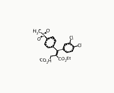 CCOC(=O)/C(CC(=O)O)=C(/c1ccc(S(C)(=O)=O)cc1)c1ccc(Cl)c(Cl)c1